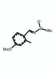 COc1ccc(C=N[S+]([O-])C(C)(C)C)c(C)c1